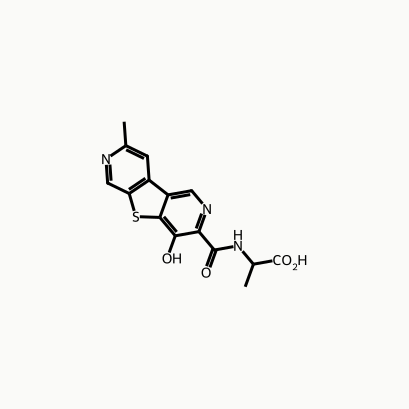 Cc1cc2c(cn1)sc1c(O)c(C(=O)NC(C)C(=O)O)ncc12